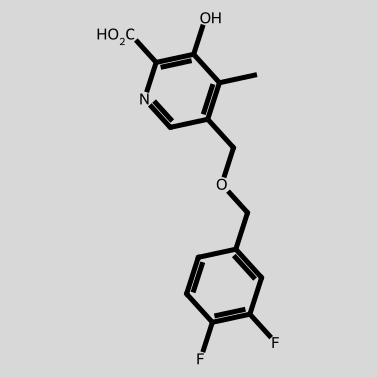 Cc1c(COCc2ccc(F)c(F)c2)cnc(C(=O)O)c1O